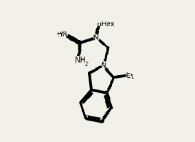 CCCCCCN(CN1Cc2ccccc2C1CC)C(=N)N